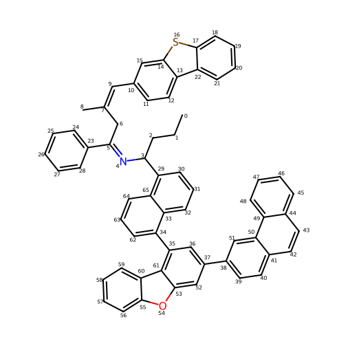 CCCC(/N=C(\C/C(C)=C\c1ccc2c(c1)sc1ccccc12)c1ccccc1)c1cccc2c(-c3cc(-c4ccc5ccc6ccccc6c5c4)cc4oc5ccccc5c34)cccc12